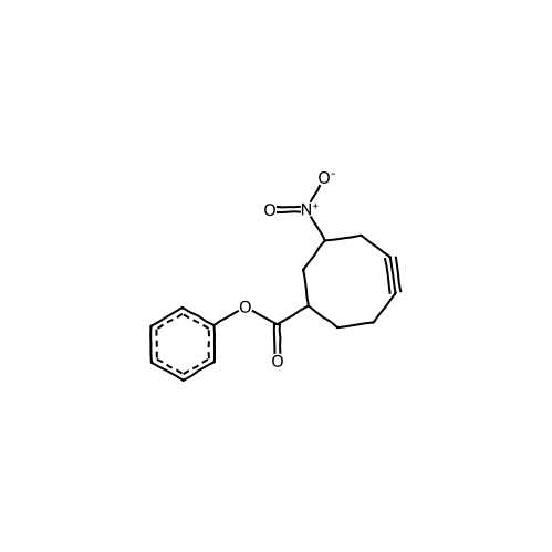 O=C(Oc1ccccc1)C1CCC#CCC([N+](=O)[O-])C1